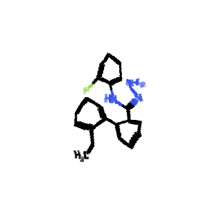 CCc1ccccc1-c1ccccc1/C(=N/N)Nc1ccccc1F